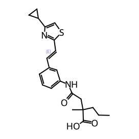 CCCC(C)(CC(=O)Nc1cccc(/C=C/c2nc(C3CC3)cs2)c1)C(=O)O